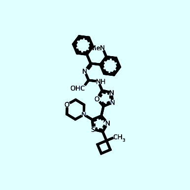 CNc1ccccc1/C(=N\C(C=O)Nc1nnc(-c2nc(C3(C)CCC3)sc2N2CCOCC2)o1)c1ccccc1